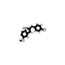 COc1ccc2[nH]c(Cc3ccc(Cl)cc3)cc2c1